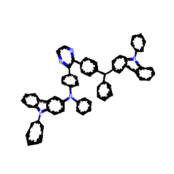 c1ccc(C(c2ccc(-c3nccnc3-c3ccc(N(c4ccccc4)c4ccc5c(c4)c4ccccc4n5-c4ccccc4)cc3)cc2)c2ccc3c(c2)c2ccccc2n3-c2ccccc2)cc1